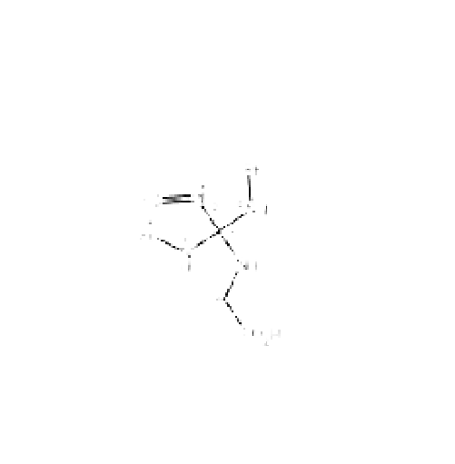 CCNC(NCC)(NCC(=O)O)[PH2]=S